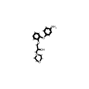 Nc1ccc(Oc2ccccc2OCC(O)CN2CCOCC2)cc1